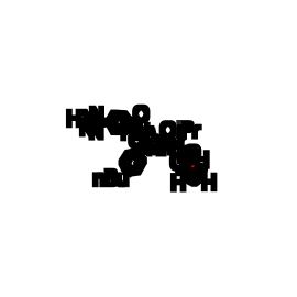 CCCCc1ccc(C(=O)N[C@@H](CNC(=O)c2ccc(-c3nn[nH]n3)cc2)C(=O)N[C@@H](CC(C)C)B2O[C@@H]3C[C@@H]4C[C@@H](C4(C)C)[C@]3(C)O2)cc1